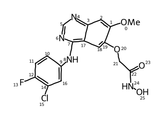 COc1cc2ncnc(Nc3ccc(F)c(Cl)c3)c2cc1OCC(=O)NO